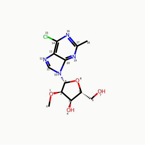 CO[C@@H]1[C@H](O)[C@@H](CO)O[C@H]1n1cnc2c(Cl)nc(C)nc21